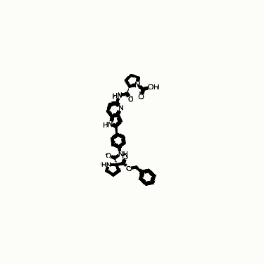 O=C(Nc1ccc2[nH]c(-c3ccc(NC(=O)[C@]4(C(=O)OCc5ccccc5)CCCN4)cc3)cc2n1)[C@@H]1CCCN1C(=O)O